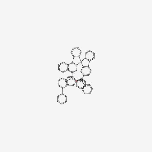 c1ccc(-c2cccc(N(c3ccccc3)c3cc4c(c5ccccc35)-c3ccccc3C43c4ccccc4-c4ccc(N(c5ccccc5)c5ccccc5)cc43)c2)cc1